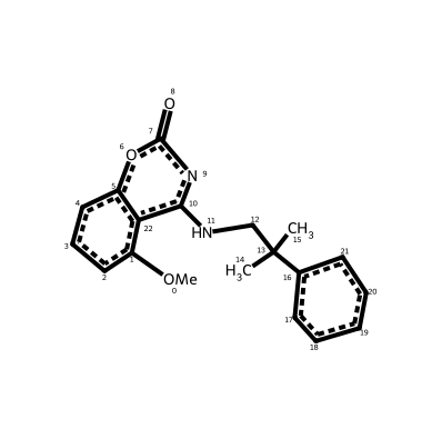 COc1cccc2oc(=O)nc(NCC(C)(C)c3ccccc3)c12